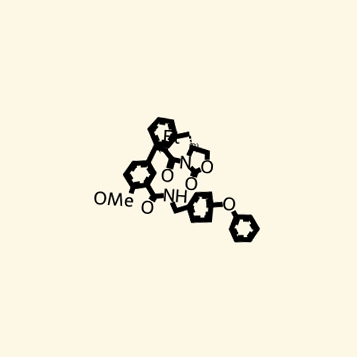 CC[C@@H](Cc1ccc(OC)c(C(=O)NCc2ccc(Oc3ccccc3)cc2)c1)C(=O)N1C(=O)OC[C@H]1Cc1ccccc1